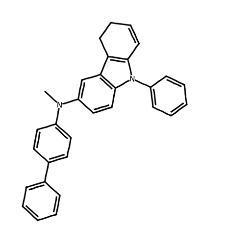 CN(c1ccc(-c2ccccc2)cc1)c1ccc2c(c1)c1c(n2-c2ccccc2)C=CCC1